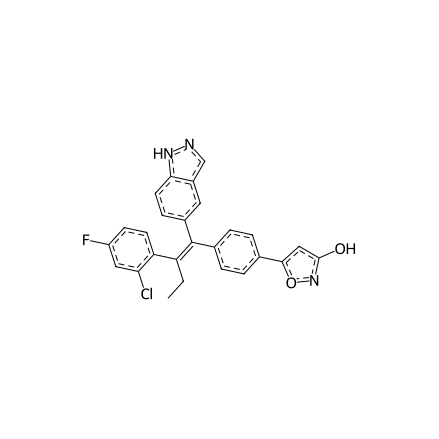 CC/C(=C(\c1ccc(-c2cc(O)no2)cc1)c1ccc2[nH]ncc2c1)c1ccc(F)cc1Cl